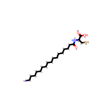 O=C(CCCCCCCCCCCCCCCCI)NC(CS)C(=O)O